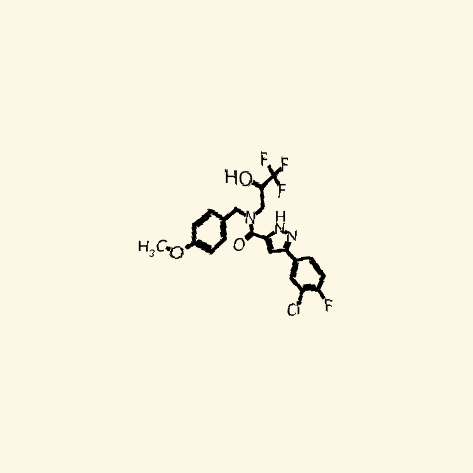 COc1ccc(CN(CC(O)C(F)(F)F)C(=O)c2cc(-c3ccc(F)c(Cl)c3)n[nH]2)cc1